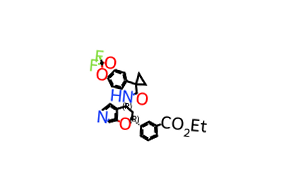 CCOC(=O)c1cccc([C@H]2C[C@@H](NC(=O)C3(c4ccc5c(c4)OC(F)(F)O5)CC3)c3ccncc3O2)c1